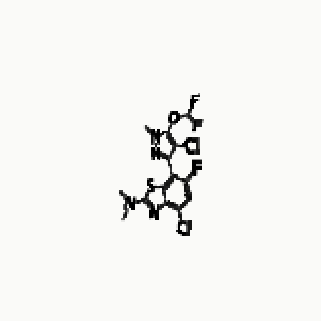 CN(C)c1nc2c(Cl)cc(F)c(-c3nn(C)c(OC(F)F)c3Cl)c2s1